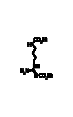 CCOC(=O)N=C(N)NCCCCNC(=O)OCC